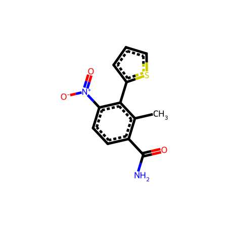 Cc1c(C(N)=O)ccc([N+](=O)[O-])c1-c1cccs1